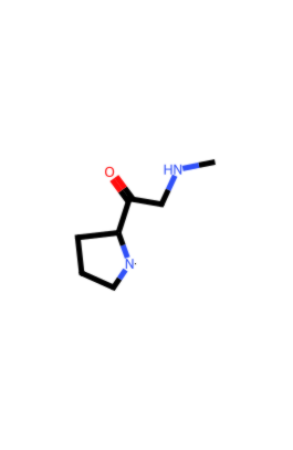 CNCC(=O)C1CCC[N]1